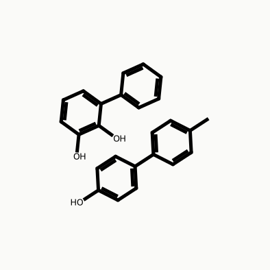 Cc1ccc(-c2ccc(O)cc2)cc1.Oc1cccc(-c2ccccc2)c1O